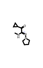 CN/C(=N\N1CCCC1)C(=O)C1CC1